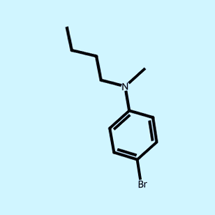 CCCCN(C)c1ccc(Br)cc1